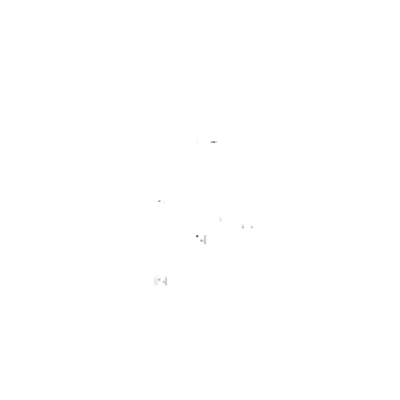 Cc1ccc(C(=O)N2CCNCC2)c(Cl)c1